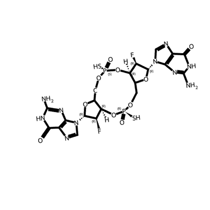 Nc1nc2c(ncn2[C@@H]2OC3CO[P@@](=O)(S)O[C@@H]4C(CO[P@](=O)(S)O[C@H]3[C@H]2F)O[C@@H](n2cnc3c(=O)[nH]c(N)nc32)[C@@H]4F)c(=O)[nH]1